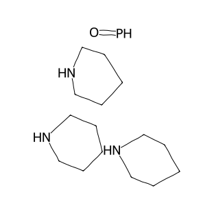 C1CCNCC1.C1CCNCC1.C1CCNCC1.O=P